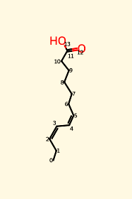 CC/C=C\C=C/CCCCCC(=O)O